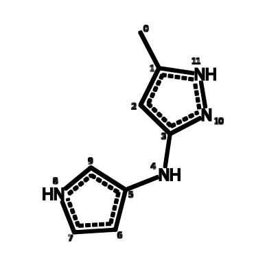 Cc1cc(Nc2cc[nH]c2)n[nH]1